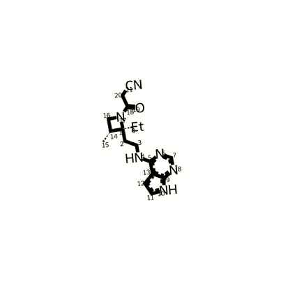 CC[C@]1(CCNc2ncnc3[nH]ccc23)[C@H](C)CN1C(=O)CC#N